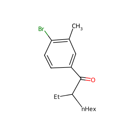 CCCCCCC(CC)C(=O)c1ccc(Br)c(C)c1